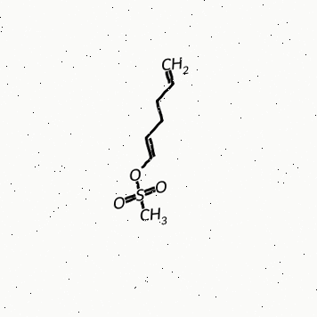 C=CCCC=COS(C)(=O)=O